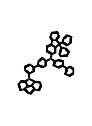 c1ccc(-c2ccc(N(c3ccc(-c4cccc(-n5c6cccc7ccc8cccc5c8c76)c4)cc3)c3ccc4c(c3)C(c3ccccc3)(c3ccccc3)c3ccccc3-4)cc2)cc1